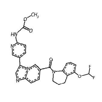 COC(=O)Nc1ccc(-c2cnc3ccc(C(=O)N4CCCc5c(OC(F)F)cccc54)cn23)cn1